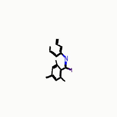 C=C/C=C(\C=C/C)/N=C(/I)c1c(C)cc(C)cc1C